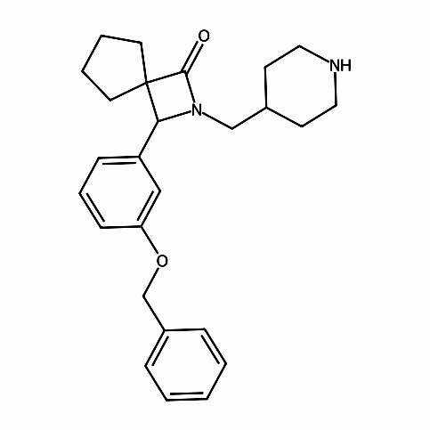 O=C1N(CC2CCNCC2)C(c2cccc(OCc3ccccc3)c2)C12CCCC2